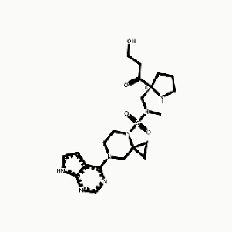 CN(C[C@@]1(C(=O)CCO)CCCN1)S(=O)(=O)N1CCN(c2ncnc3[nH]ccc23)CC12CC2